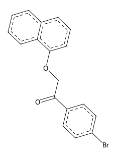 O=C(COc1cccc2ccccc12)c1ccc(Br)cc1